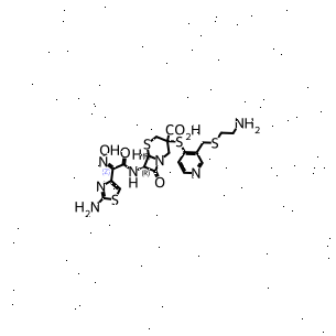 NCCSCc1cnccc1SC1(C(=O)O)CS[C@@H]2[C@H](NC(=O)/C(=N\O)c3csc(N)n3)C(=O)N2C1